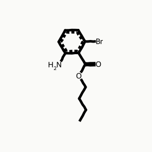 CCCCOC(=O)c1c(N)cccc1Br